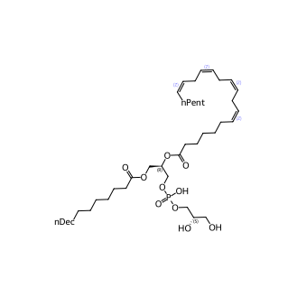 CCCCC/C=C\C/C=C\C/C=C\C/C=C\CCCCCC(=O)O[C@H](COC(=O)CCCCCCCCCCCCCCCC)COP(=O)(O)OC[C@@H](O)CO